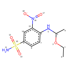 CCOC(C)Nc1ccc(S(N)(=O)=O)cc1[N+](=O)[O-]